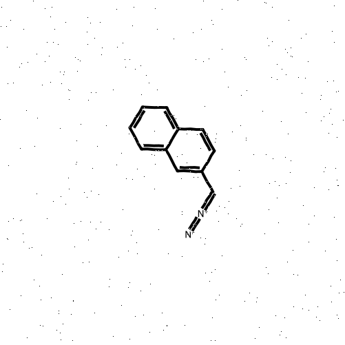 [N-]=[N+]=Cc1ccc2ccccc2c1